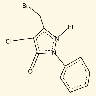 CCn1c(CBr)c(Cl)c(=O)n1-c1ccccc1